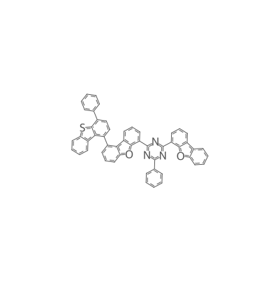 c1ccc(-c2nc(-c3cccc4c3oc3ccccc34)nc(-c3cccc4c3oc3cccc(-c5ccc(-c6ccccc6)c6sc7ccccc7c56)c34)n2)cc1